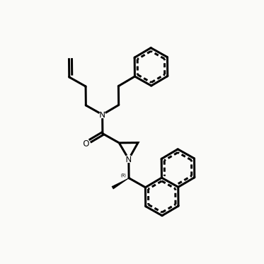 C=CCCN(CCc1ccccc1)C(=O)C1CN1[C@H](C)c1cccc2ccccc12